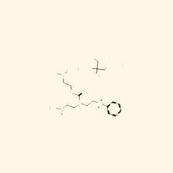 CCN(CC)CCNC(=O)N(CCN(CC)CC)CCS(=O)(=O)c1ccccc1.O.O=C(O)CC(O)(CC(=O)O)C(=O)O